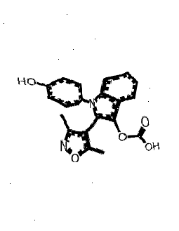 Cc1noc(C)c1-c1c(OC(=O)O)c2ccccc2n1-c1ccc(O)cc1